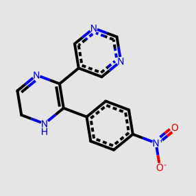 O=[N+]([O-])c1ccc(C2=C(c3cncnc3)N=CCN2)cc1